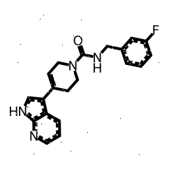 O=C(NCc1cccc(F)c1)N1CC=C(c2c[nH]c3ncccc23)CC1